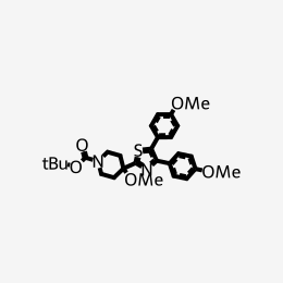 COc1ccc(-c2nc(C3(OC)CCN(C(=O)OC(C)(C)C)CC3)sc2-c2ccc(OC)cc2)cc1